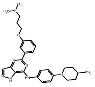 CN(C)CCCOc1cccc(-c2nc(Nc3ccc(N4CCN(C)CC4)cc3)c3[nH]ncc3n2)c1